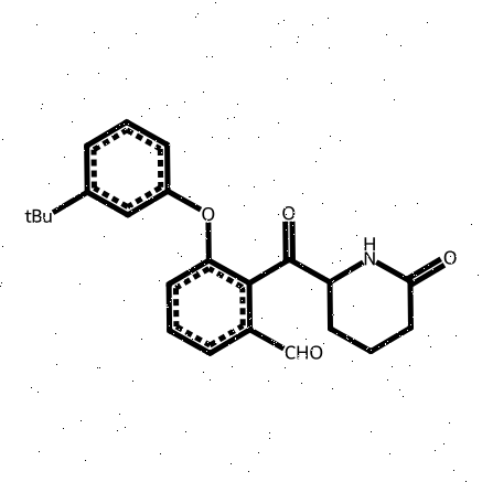 CC(C)(C)c1cccc(Oc2cccc(C=O)c2C(=O)C2CCCC(=O)N2)c1